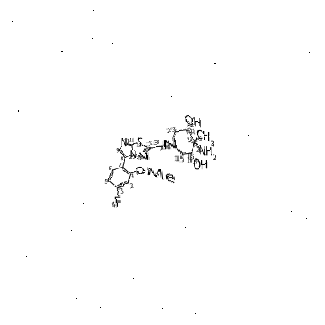 COc1cc(F)ccc1-c1cnc2sc(N3C[C@@H](O)[C@@](C)(N)[C@@H](O)C3)nn12